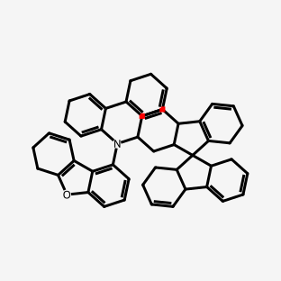 C1=CCCC(C2=CCCC=C2N(c2cccc3oc4c(c23)C=CCC4)C2C=CC3C4=C(CCC=C4)C4(C5CC=CC=C5C5C=CCCC54)C3C2)=C1